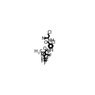 Cn1nc(C(F)(F)C(F)(F)F)c(C(F)(F)F)c1C(=O)Nc1ccc(Cl)c(C(=O)NC(C#N)CCCl)c1